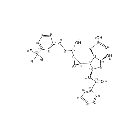 O=C(O)C[C@@H]1[C@@H]([C@H]2OC2[C@@H](O)COc2cccc(C(F)(F)F)c2)[C@H](OC(=O)c2ccccc2)C[C@@H]1O